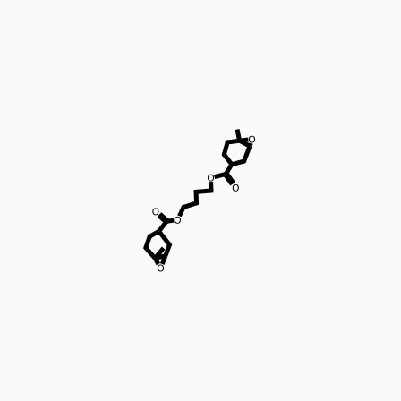 CC12CCC(C(=O)OCCCCOC(=O)C3CCC4(C)OC4C3)CC1O2